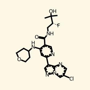 CC(C)(O)[C@H](F)CNC(=O)c1cnc(-c2cnn3cc(Cl)cnc23)cc1NC1CCOCC1